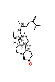 C=C(CC[C@@H](C)[C@H]1CC[C@H]2[C@@H]3CCC4=CC(=O)CC[C@]4(C)[C@H]3CC[C@]12C)C(C)C